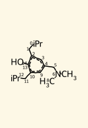 CC(C)Cc1cc(CN(C)C)cc(CC(C)C)c1O